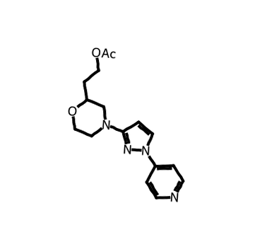 CC(=O)OCCC1CN(c2ccn(-c3ccncc3)n2)CCO1